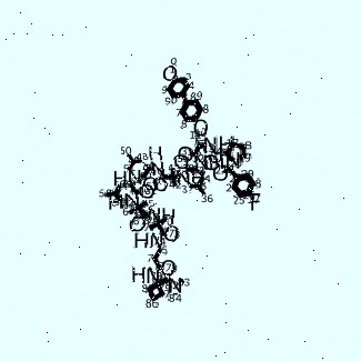 COc1ccc(-c2ccc(OC[C@H](NC(=O)[C@@H]3CCCN3C(=O)c3ccc(F)cc3)C(=O)N[C@@H](CC(C)C)C(=O)NC(C)(C)C(=O)N[C@@H](CC(C)C)C(=O)N[C@@H](CC(C)C)C(=O)NC(C)(C)C(=O)NC(C)(C)C(=O)NCCC(=O)NC3(CN(C)C)CCC3)cc2)cc1